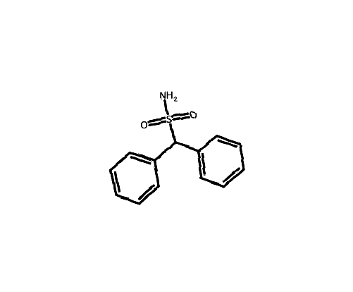 NS(=O)(=O)C(c1ccccc1)c1ccccc1